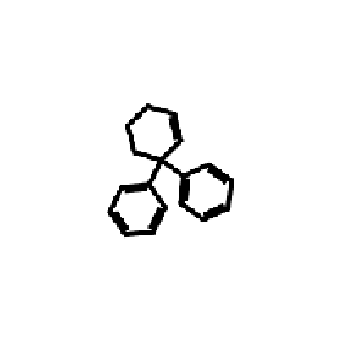 C1=CC(c2ccccc2)(c2ccccc2)CCC1